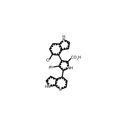 CC(C)c1c(-c2ccnc3[nH]ccc23)[nH]c(C(=O)O)c1-c1c(Cl)ccc2[nH]ccc12